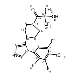 Cc1c(F)cc(-n2cncc2C2CCN(C(=O)C(C)(O)C(F)(F)F)CC2)c(F)c1F